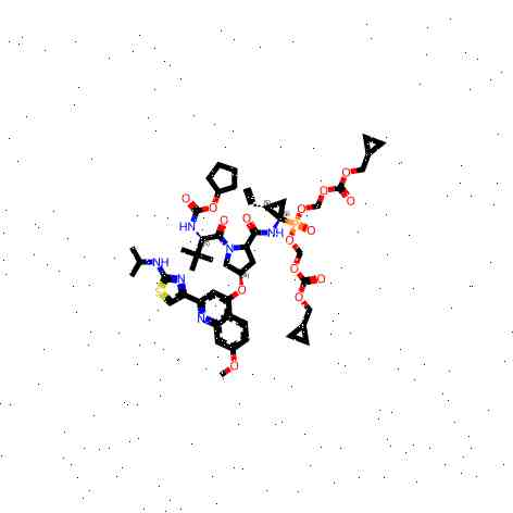 C=C[C@@H]1C[C@]1(NC(=O)C1C[C@@H](Oc2cc(-c3csc(NC(C)C)n3)nc3cc(OC)ccc23)CN1C(=O)[C@@H](NC(=O)OC1CCCC1)C(C)(C)C)P(=O)(OCOC(=O)OCC1CC1)OCOC(=O)OCC1CC1